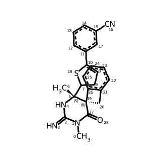 CN1C(=N)N[C@](C)(C2CC=C(c3cccc(C#N)c3)S2)[C@]2(Cc3ccccc32)C1=O